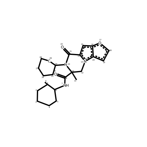 CC1CCCCC1NC(=O)C1(C)Cn2c(cc3occc32)C(=O)N1C1CCCCC1